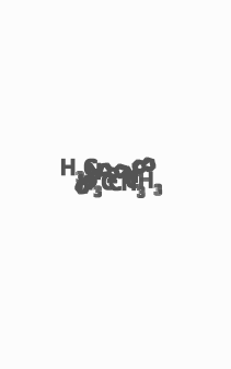 CN(c1ccc2c(c1)C(C)(C)c1cc(N(C)c3ccc4ccccc4c3)ccc1-2)c1ccc2ccccc2c1